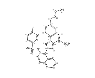 Cc1ccc(S(=O)(=O)Oc2ccc3ccccc3c2-n2nc3c(S(=O)(=O)O)cc4cc(SOOO)ccc4c3n2)cc1